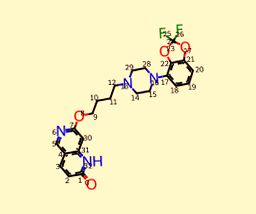 O=c1ccc2cnc(OCCCCN3CCN(c4cccc5c4OC(F)(F)O5)CC3)cc2[nH]1